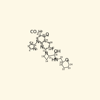 O=C(O)c1cn(-c2nccs2)c2nc(N3CCC3C(O)NCC3CCCCO3)c(F)cc2c1=O